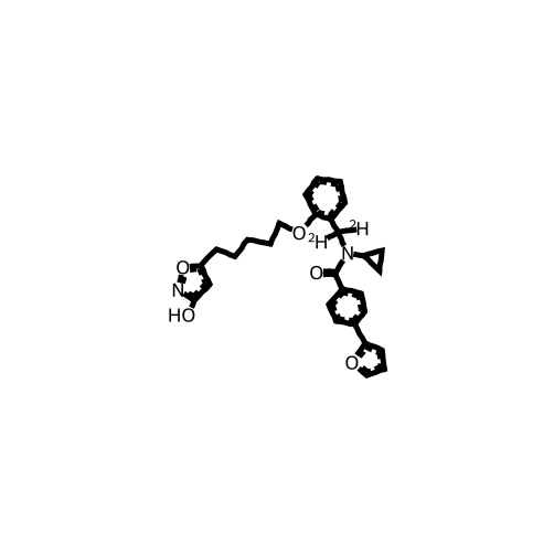 [2H]C([2H])(c1ccccc1OCCCCCc1cc(O)no1)N(C(=O)c1ccc(-c2ccco2)cc1)C1CC1